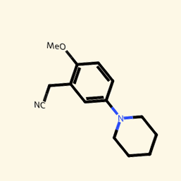 COc1ccc(N2CCCCC2)cc1CC#N